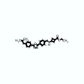 CCOC(=O)C1CC(NCc2ccc(-c3nnc(-c4ccc(CC(C)C)cc4)o3)cc2)C1